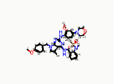 COc1ccc(CN2CC(C)c3c(NCc4ccccc4N(C)S(C)(=O)=O)nc(Nc4ccc(N5CCOCC5)cc4OC)nc32)cc1